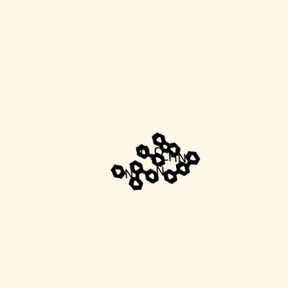 CC1(C)c2ccccc2-c2ccc(-n3c4ccccc4c4ccc(-c5cccc(N(c6cccc(-c7ccccc7)c6)c6cccc(-c7cccc8c7c7ccccc7n8-c7ccccc7)c6)c5)cc43)cc21